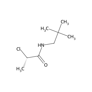 C[C@H](Cl)C(=O)NCC(C)(C)C